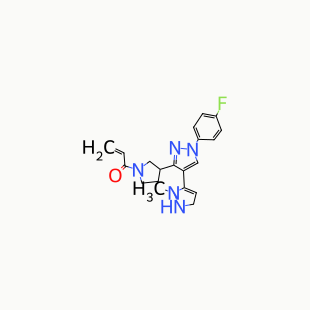 C=CC(=O)N1CCC(c2nn(-c3ccc(F)cc3)cc2C2=CCNN2C)C1